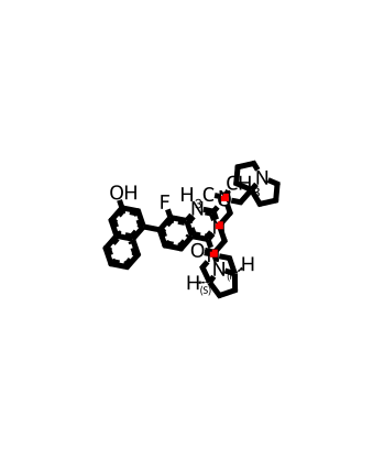 CN(C)CCCC(=O)N1[C@@H]2CC[C@H]1CN(c1nc(OCC34CCCN3CCC4)nc3c(F)c(-c4cc(O)cc5ccccc45)ccc13)C2